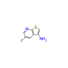 Nc1csc2ncc(F)cc12